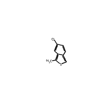 [CH2]c1scc2ccc(Cl)cc12